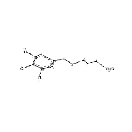 O=CCCCCCc1cc(Cl)c(Cl)c(Cl)c1